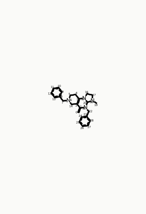 C=C1C2=C(CCN(Cc3ccccc3)C2)N2CCN(C)C2N1Cc1ccccc1